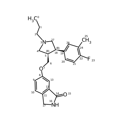 CCCN1C[C@H](COc2ccc3c(c2)C(=O)NC3)[C@H](c2ccc(F)c(C)c2)C1